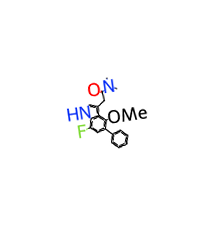 COc1c(-c2ccccc2)cc(F)c2[nH]cc(CC(=O)N(C)C)c12